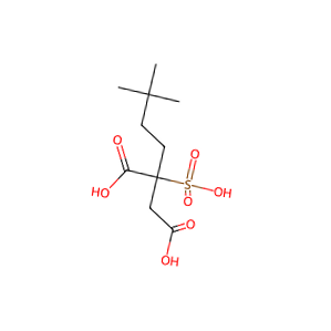 CC(C)(C)CCC(CC(=O)O)(C(=O)O)S(=O)(=O)O